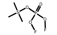 C[Si](C)(C)OP(=O)(OF)OF